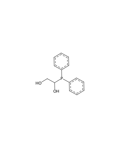 OCC(O)P(c1ccccc1)c1ccccc1